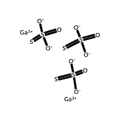 O=S([O-])([O-])=S.O=S([O-])([O-])=S.O=S([O-])([O-])=S.[Ga+3].[Ga+3]